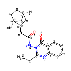 CCc1nc2ccccc2c(=O)n1NC(=O)C[C@@H]1C[C@@H]2CC[C@H]1C2